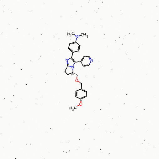 COc1ccc(COC[C@@H]2CCc3nc(-c4ccc(N(C)C)cc4)c(-c4ccncc4)n32)cc1